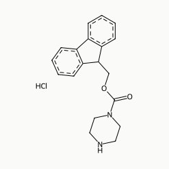 Cl.O=C(OCC1c2ccccc2-c2ccccc21)N1CCNCC1